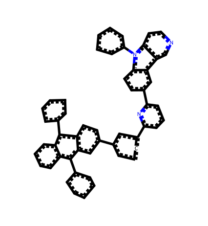 c1ccc(-c2c3ccccc3c(-c3ccccc3)c3cc(-c4cccc(-c5cccc(-c6ccc7c(c6)c6cnccc6n7-c6ccccc6)n5)c4)ccc23)cc1